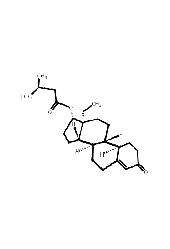 CC[C@]12CC[C@H]3[C@@H](CCC4=CC(=O)CC[C@@H]43)[C@@H]1CC[C@@H]2OC(=O)CC(C)C